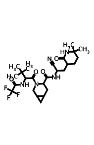 CC1(C)CCC(CC(C#N)NC(=O)C2CC3CC3CN2C(=O)C(NC(=O)C(F)(F)F)C(C)(C)C)C(=O)N1